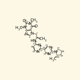 C=C(Cn1cnc2c1c(=O)n(C)c(=O)n2C)Nc1ccnc(-c2cnc(N3CCC[C@@H]3C)nc2)n1